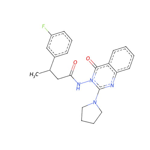 CC(CC(=O)Nn1c(N2CCCC2)nc2ccccc2c1=O)c1cccc(F)c1